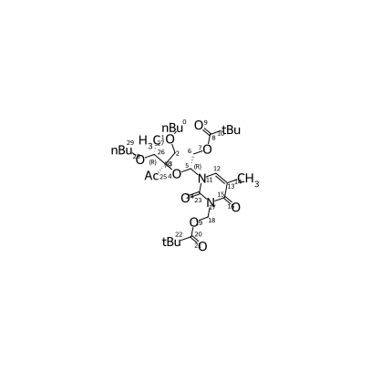 CCCCOC[C@](O[C@H](COC(=O)C(C)(C)C)n1cc(C)c(=O)n(COC(=O)C(C)(C)C)c1=O)(C(C)=O)[C@@H](C)OCCCC